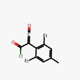 CCc1cc(C)cc(CC)c1C(=C=O)C(=O)Cl